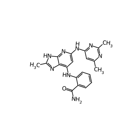 Cc1cc(Nc2cc(Nc3ccccc3C(N)=O)c3nc(C)[nH]c3n2)nc(C)n1